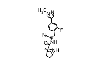 Cn1cc(-c2ccc(C[C@@H](C#N)NC(=O)[C@H]3NC4CCC3C4)c(F)c2)cn1